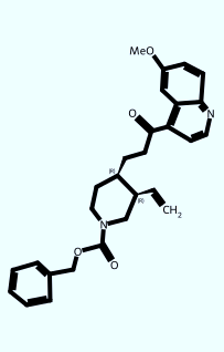 C=C[C@H]1CN(C(=O)OCc2ccccc2)CC[C@H]1CCC(=O)c1ccnc2ccc(OC)cc12